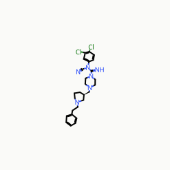 N#CN(C(=N)N1CCN(C[C@@H]2CCCN(CCc3ccccc3)C2)CC1)c1ccc(Cl)c(Cl)c1